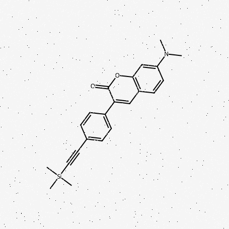 CN(C)c1ccc2cc(-c3ccc(C#C[Si](C)(C)C)cc3)c(=O)oc2c1